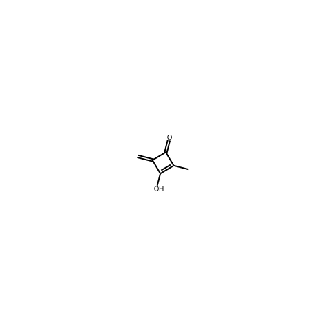 C=C1C(=O)C(C)=C1O